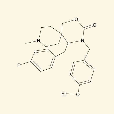 CCOc1ccc(CN2C(=O)OCC3(CCN(C)CC3)C2Cc2ccc(F)cc2)cc1